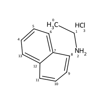 CCN.Cl.c1ccc2ccccc2c1